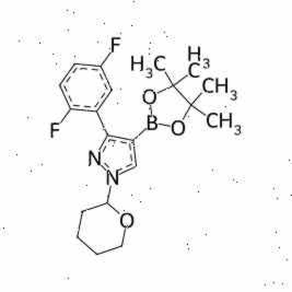 CC1(C)OB(c2cn(C3CCCCO3)nc2-c2cc(F)ccc2F)OC1(C)C